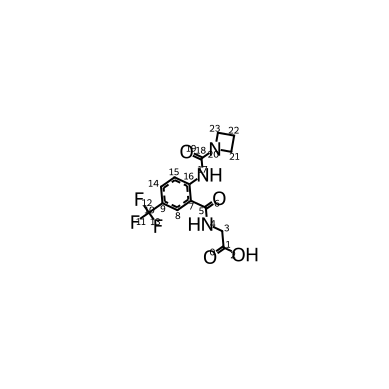 O=C(O)CNC(=O)c1cc(C(F)(F)F)ccc1NC(=O)N1CCC1